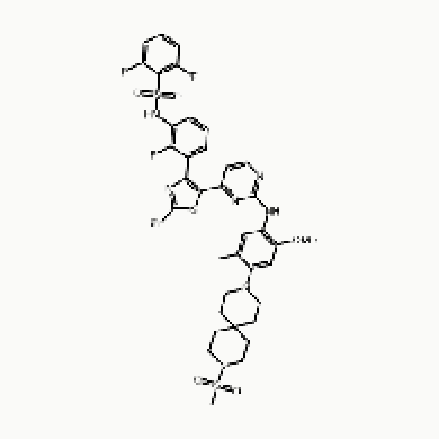 COc1cc(N2CCC3(CC2)CCN(S(C)(=O)=O)CC3)c(C)cc1Nc1nccc(-c2sc(C(C)C)nc2-c2cccc(NS(=O)(=O)c3c(F)cccc3F)c2F)n1